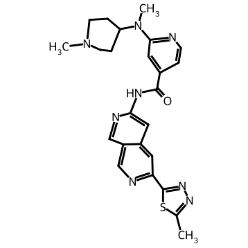 Cc1nnc(-c2cc3cc(NC(=O)c4ccnc(N(C)C5CCN(C)CC5)c4)ncc3cn2)s1